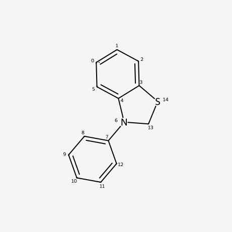 [c]1ccc2c(c1)N(c1ccccc1)CS2